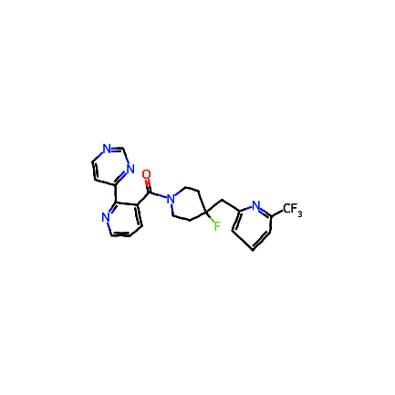 O=C(c1cccnc1-c1ccncn1)N1CCC(F)(Cc2cccc(C(F)(F)F)n2)CC1